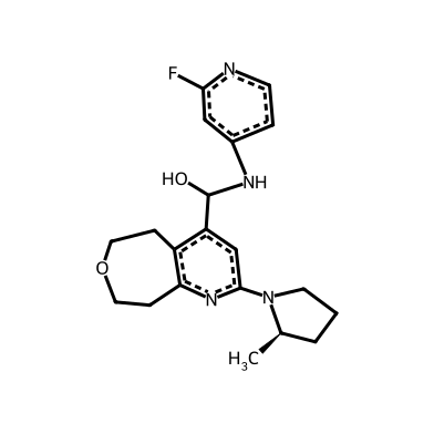 C[C@@H]1CCCN1c1cc(C(O)Nc2ccnc(F)c2)c2c(n1)CCOCC2